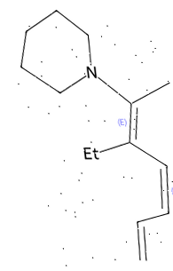 C=C/C=C\C(CC)=C(/C)N1CCCCC1